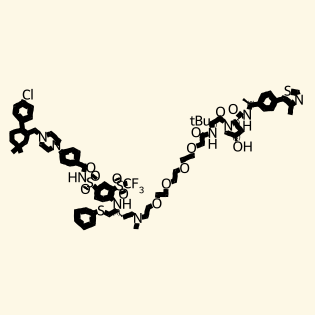 Cc1ncsc1-c1ccc([C@H](C)NC(=O)[C@@H]2C[C@@H](O)CN2C(=O)[C@@H](NC(=O)COCCOCCOCCOCCN(C)CC[C@H](CSc2ccccc2)Nc2ccc(S(=O)(=O)NC(=O)c3ccc(N4CCN(CC5=C(c6ccc(Cl)cc6)CCC(C)(C)C5)CC4)cc3)cc2S(=O)(=O)C(F)(F)F)C(C)(C)C)cc1